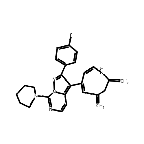 C=C1/C=C(c2c(-c3ccc(F)cc3)nn3c(N4CCCCC4)nccc23)\C=C/NC(=C)C1